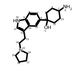 NC1CCC(O)(c2ccc3[nH]cc(CCN4CCCC4)c3c2)CC1